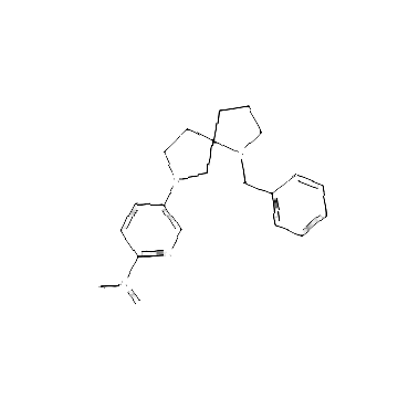 O=[N+]([O-])c1ccc(N2CCC3(CCCN3Cc3ccccc3)C2)cn1